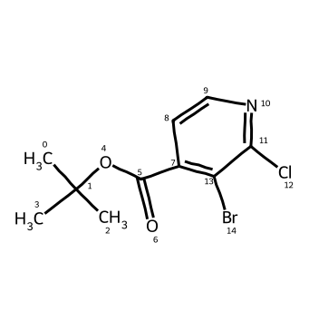 CC(C)(C)OC(=O)c1ccnc(Cl)c1Br